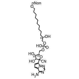 CCCCCCCCCOCCCCCCCCCC[C@@H](O)COP(=O)(O)OC[C@H]1O[C@@](C#N)(c2ccc3c(N)ncnn23)C(O)[C@H]1O